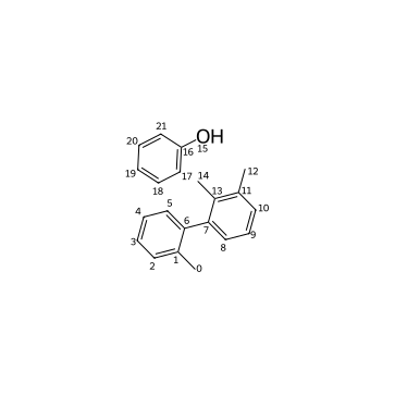 Cc1ccccc1-c1cccc(C)c1C.Oc1ccccc1